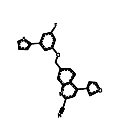 N#Cc1cc(-c2ccoc2)c2ccc(COc3cc(F)cc(-c4cccs4)c3)cc2n1